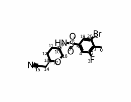 Cc1c(F)cc(S(=O)(=O)N[C@H]2CC[C@H](CC#N)OC2)cc1Br